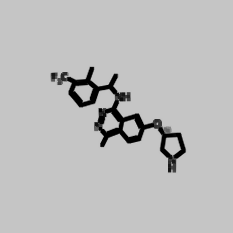 Cc1c(C(C)Nc2nnc(C)c3ccc(O[C@H]4CCNC4)cc23)cccc1C(F)(F)F